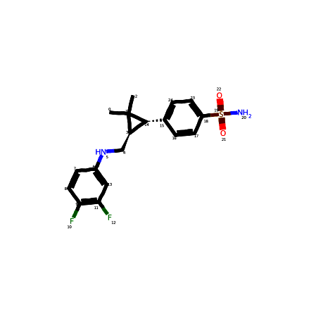 CC1(C)[C@H](CNc2ccc(F)c(F)c2)[C@H]1c1ccc(S(N)(=O)=O)cc1